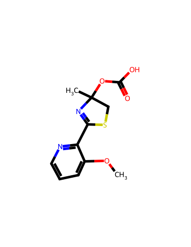 COc1cccnc1C1=NC(C)(OC(=O)O)CS1